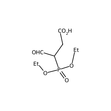 CCOP(=O)(OCC)C(C=O)CC(=O)O